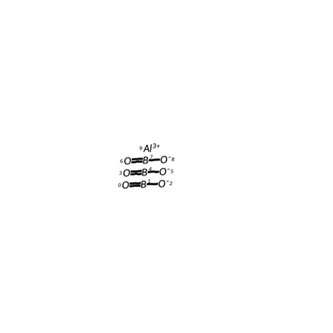 O=B[O-].O=B[O-].O=B[O-].[Al+3]